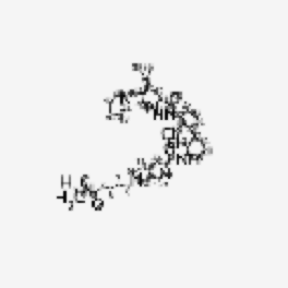 CN(C)C(=O)CCCCN1CCc2cc(C(=O)Nc3cccc(-c4cccc(NC(=O)c5cc(C6CC6)c(CN6CCCCC6)cn5)c4Cl)c3Cl)ncc2C1